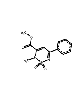 COC(=O)C1=CC(c2ccccc2)=NS(=O)(=O)N1C